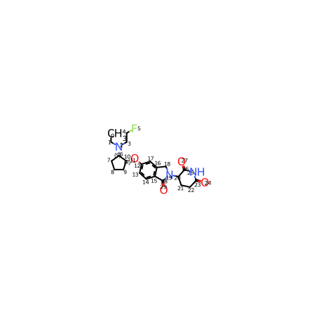 CCN(CCF)[C@H]1CCC[C@H]1Oc1ccc2c(c1)CN(C1CCC(=O)NC1=O)C2=O